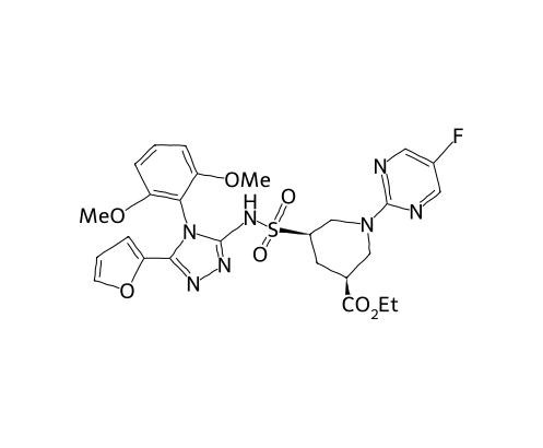 CCOC(=O)[C@H]1C[C@@H](S(=O)(=O)Nc2nnc(-c3ccco3)n2-c2c(OC)cccc2OC)CN(c2ncc(F)cn2)C1